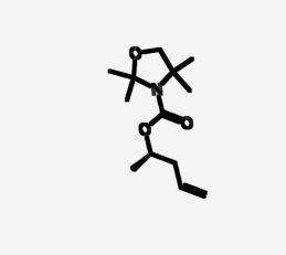 C=CC[C@@H](C)OC(=O)N1C(C)(C)COC1(C)C